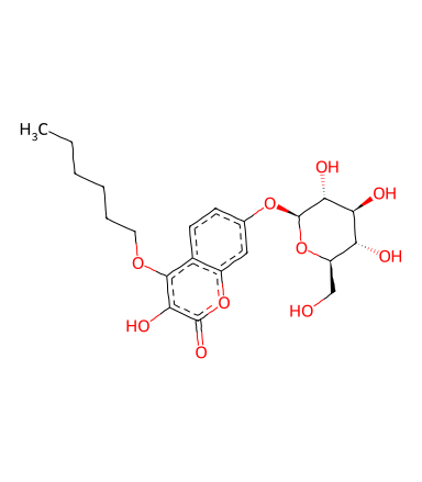 CCCCCCOc1c(O)c(=O)oc2cc(O[C@@H]3O[C@H](CO)[C@@H](O)[C@H](O)[C@H]3O)ccc12